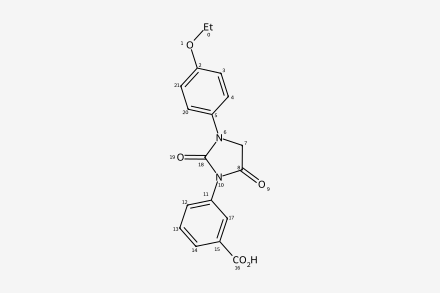 CCOc1ccc(N2CC(=O)N(c3cccc(C(=O)O)c3)C2=O)cc1